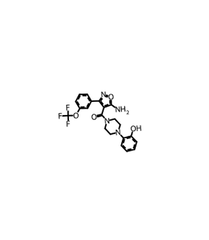 Nc1onc(-c2cccc(OC(F)(F)F)c2)c1C(=O)N1CCN(c2ccccc2O)CC1